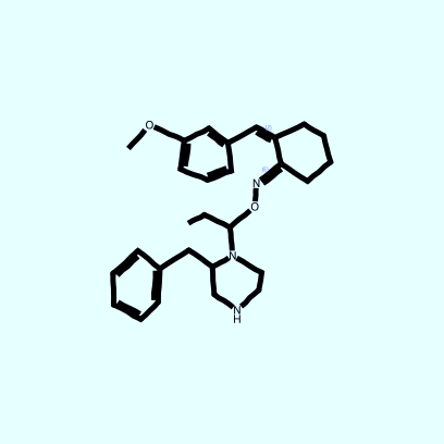 CCC(O/N=C1\CCCC\C1=C\c1cccc(OC)c1)N1CCNCC1Cc1ccccc1